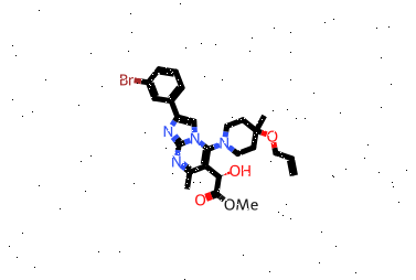 C=CCOC1(C)CCN(c2c([C@H](O)C(=O)OC)c(C)nc3nc(-c4cccc(Br)c4)cn23)CC1